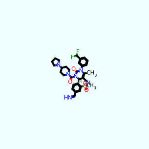 CC1=C(C#N)[C@@H](c2ccc(C=N)cc2S(C)(=O)=O)N(C(=O)N2CCC(N3CCCC3)CC2)C(=O)N1c1cccc(C(F)F)c1